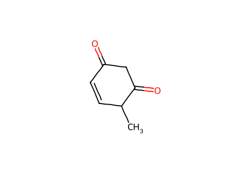 CC1C=CC(=O)CC1=O